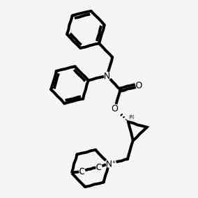 O=C(O[C@@H]1CC1C[N+]12CCC(CC1)CC2)N(Cc1ccccc1)c1ccccc1